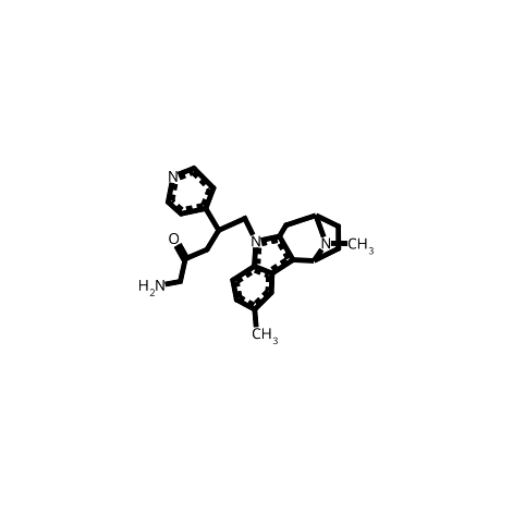 Cc1ccc2c(c1)c1c(n2CC(CC(=O)CN)c2ccncc2)CC2CCC1N2C